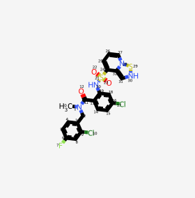 CN(Cc1ccc(F)cc1Cl)C(=O)c1ccc(Cl)cc1NS(=O)(=O)C1=CC=CN2SNC=C12